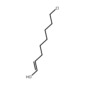 OC=CCCCCCCCl